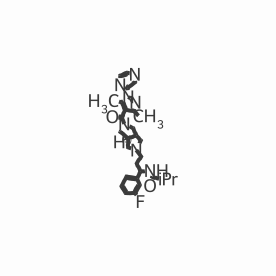 Cc1nn(-c2cnccn2)c(C)c1C(=O)N1CC2CN(CCC(NC(=O)C(C)C)c3cccc(F)c3)C[C@H]2C1